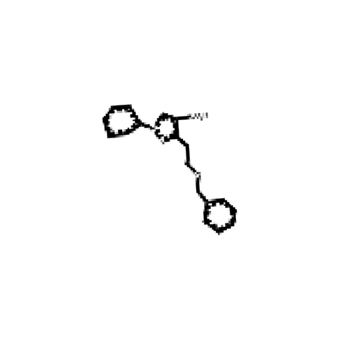 O=C(O)c1cn(-c2ccccc2)nc1CCOCc1ccccc1